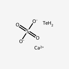 O=S(=O)([O-])[O-].[Ca+2].[TeH2]